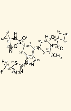 C[C@@H]1CN(c2cc(S(=O)(=O)NC3(C#N)CC3)cc3c2cnn3-c2nnc(C(F)F)s2)CCN1C(=O)C1(C)CCC1